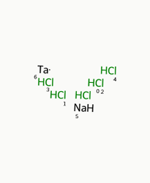 Cl.Cl.Cl.Cl.Cl.[NaH].[Ta]